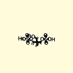 CC(CO)(COS(=O)(=O)O)COS(=O)(=O)O